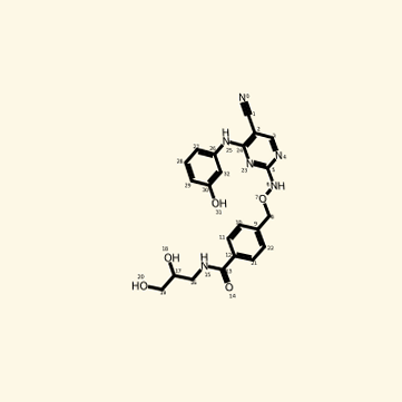 N#Cc1cnc(NOCc2ccc(C(=O)NCC(O)CO)cc2)nc1Nc1cccc(O)c1